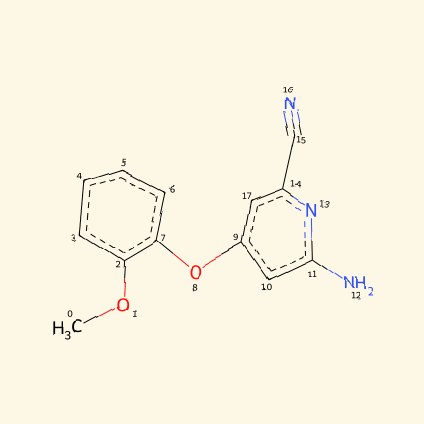 COc1ccccc1Oc1cc(N)nc(C#N)c1